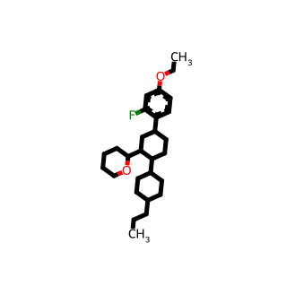 CCCC1CCC(C2CCC(c3ccc(OCC)cc3F)CC2C2CCCCO2)CC1